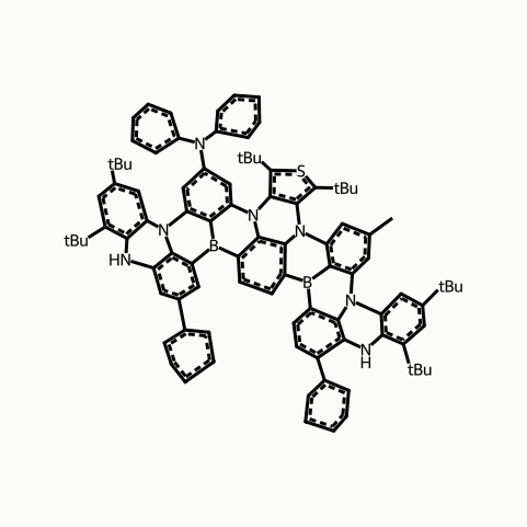 Cc1cc2c3c(c1)N1c4c(ccc5c4N(c4cc(N(c6ccccc6)c6ccccc6)cc6c4B5c4cc(-c5ccccc5)cc5c4N6c4cc(C(C)(C)C)cc(C(C)(C)C)c4N5)c4c(C(C)(C)C)sc(C(C)(C)C)c41)B3c1ccc(-c3ccccc3)c3c1N2c1cc(C(C)(C)C)cc(C(C)(C)C)c1N3